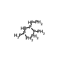 PPP(BP(P)P)P(P)P